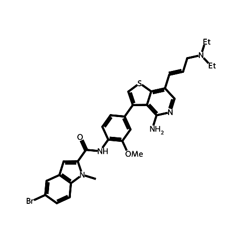 CCN(CC)C/C=C/c1cnc(N)c2c(-c3ccc(NC(=O)c4cc5cc(Br)ccc5n4C)c(OC)c3)csc12